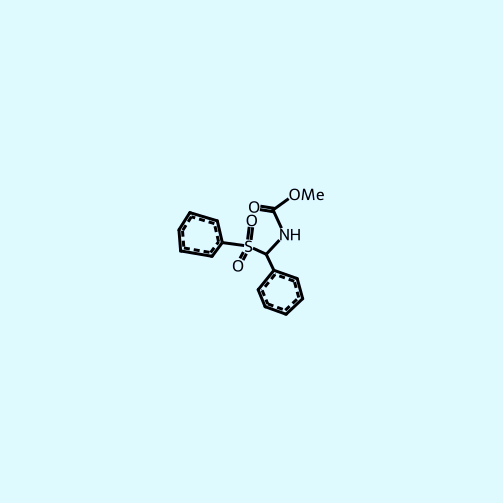 COC(=O)NC(c1ccccc1)S(=O)(=O)c1ccccc1